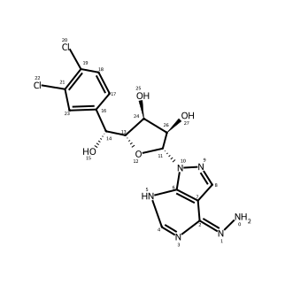 N/N=c1/nc[nH]c2c1cnn2[C@@H]1O[C@H]([C@H](O)c2ccc(Cl)c(Cl)c2)[C@@H](O)[C@H]1O